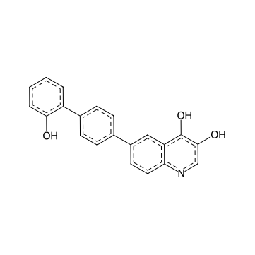 Oc1ccccc1-c1ccc(-c2ccc3ncc(O)c(O)c3c2)cc1